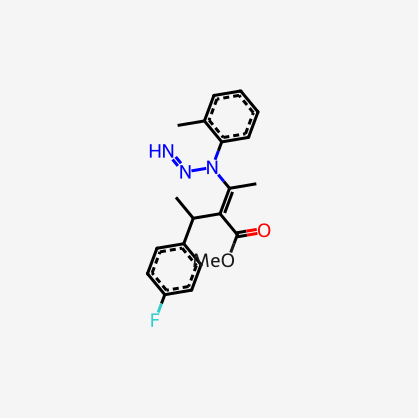 COC(=O)/C(=C(\C)N(N=N)c1ccccc1C)C(C)c1ccc(F)cc1